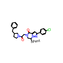 CCCCCC1CN(CC(=O)N2CCC(Cc3ccccc3)C2)C(=O)c2cc(-c3ccc(Cl)cc3)nn21